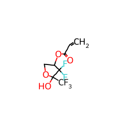 C=CC(=O)OC1COC(O)(C(F)(F)F)C1(F)F